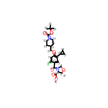 COC(=O)[C@@H]1[C@@H](C)OCN1C(=O)c1cc(C2CC2)c(OCC2CCN(C(=O)OC(C)(C)C)CC2)cc1F